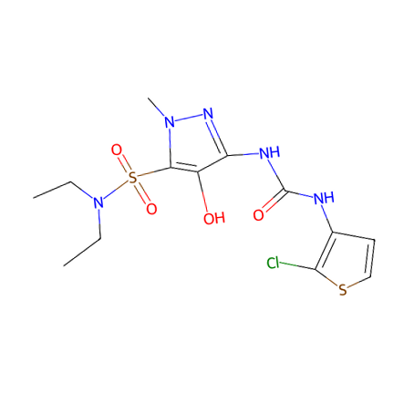 CCN(CC)S(=O)(=O)c1c(O)c(NC(=O)Nc2ccsc2Cl)nn1C